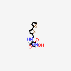 CC1O[C@@]1(C)[C@H](NCc1ccc(-c2cccs2)s1)C(=O)NO